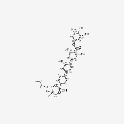 CCCCCC1(C)COC(O)(c2ccc(-c3ccc(-c4cc(F)c(C(=O)Oc5cc(F)c(F)c(F)c5)c(F)c4)c(F)c3)cc2)OC1